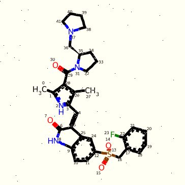 Cc1[nH]c(/C=C2\C(=O)Nc3ccc(S(=O)(=O)Cc4ccccc4F)cc32)c(C)c1C(=O)N1CCC[C@@H]1CN1CCCC1